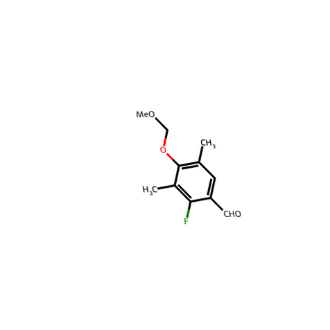 COCOc1c(C)cc(C=O)c(F)c1C